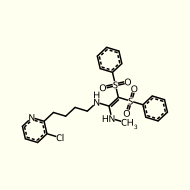 CNC(NCCCCc1ncccc1Cl)=C(S(=O)(=O)c1ccccc1)S(=O)(=O)c1ccccc1